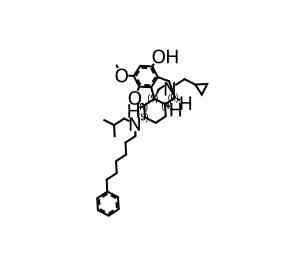 COc1cc(O)c2c3c1O[C@H]1[C@@H](N(CCCCCCc4ccccc4)CC(C)C)CC[C@H]4[C@@H](C2)N(CC2CC2)CC[C@@]341